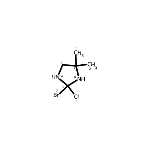 CC1(C)CNC(Cl)(Br)N1